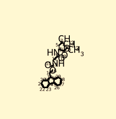 COC(=O)[C@H](CC(C)C)NC(=O)CNC(=O)OCC1c2ccccc2-c2ccccc21